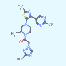 CCCc1ncn(CC(=O)N2CCN(c3sc(C(F)(F)F)nc3-c3cnc(C(F)(F)F)nc3)CC2C)n1